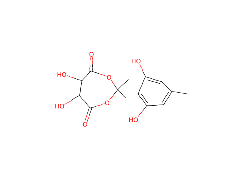 CC1(C)OC(=O)C(O)C(O)C(=O)O1.Cc1cc(O)cc(O)c1